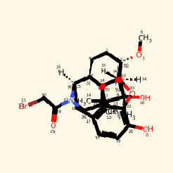 CO[C@@]12CC[C@@]3(C[C@@H]1[C@](C)(O)C(C)(C)C)[C@H]1Cc4ccc(O)c5c4[C@@]3(CCN1C(=O)CBr)[C@H]2O5